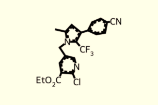 CCOC(=O)c1cc(Cn2c(C)cc(-c3ccc(C#N)cc3)c2C(F)(F)F)cnc1Cl